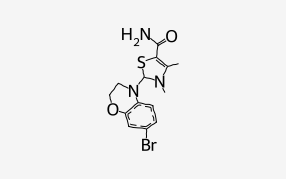 CC1=C(C(N)=O)SC(N2CCOc3cc(Br)ccc32)N1C